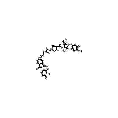 CC1(C)[C@H](NC(=O)c2ccc(N3CC(CCOc4ccc5c(c4)C(=O)N(C4CCC(=O)NC4=O)C5=O)C3)nc2)C(C)(C)[C@H]1Oc1ccc(C#N)c(Cl)c1